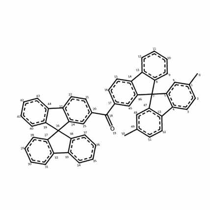 Cc1ccc2c(c1)C1(c3ccccc3-c3ccc(C(=O)c4ccc5c(c4)C4(c6ccccc6-c6ccccc64)c4ccccc4-5)cc31)c1cc(C)ccc1-2